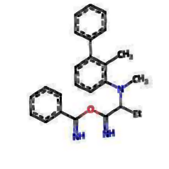 CCC(C(=N)OC(=N)c1ccccc1)N(C)c1cccc(-c2ccccc2)c1C